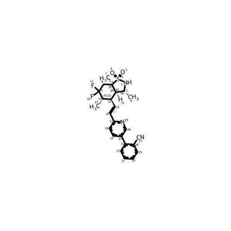 C[C@H]1NS(=O)(=O)[C@]2(C)CC(F)(F)[C@@H](C)[C@H](/C=C/c3ccc(-c4ccccc4C#N)cn3)[C@H]12